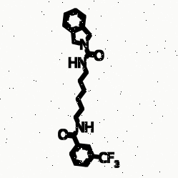 O=C(NCCCCCCNC(=O)N1Cc2ccccc2C1)c1cccc(C(F)(F)F)c1